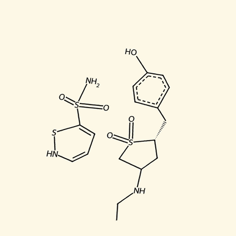 CCNC1C[C@@H](Cc2ccc(O)cc2)S(=O)(=O)C1.NS(=O)(=O)C1=CC=CNS1